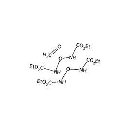 C=O.CCOC(=O)NONC(=O)OCC.CCOC(=O)NONC(=O)OCC